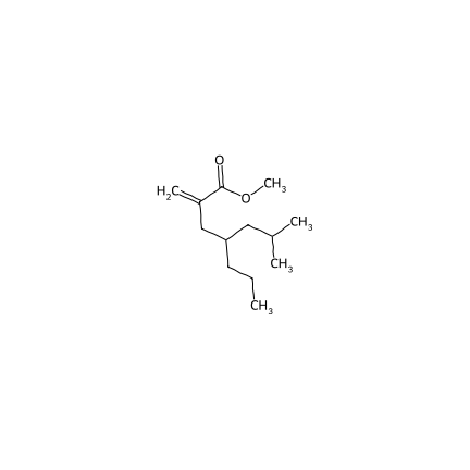 C=C(CC(CCC)CC(C)C)C(=O)OC